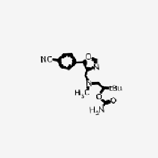 CN(Cc1ncoc1-c1ccc(C#N)cc1)CC(OC(N)=O)C(C)(C)C